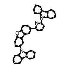 c1cc(-c2ccc3oc4ccc(-n5c6ccccc6c6ccccc65)cc4c3c2)nc(-n2c3ccccc3c3ccccc32)c1